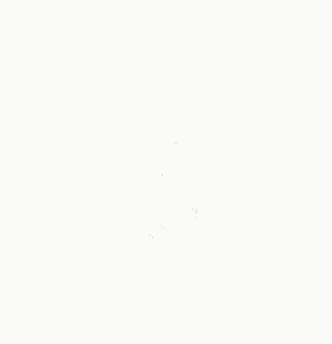 C=C/C(NN)=C(/N)c1cccc(C)c1